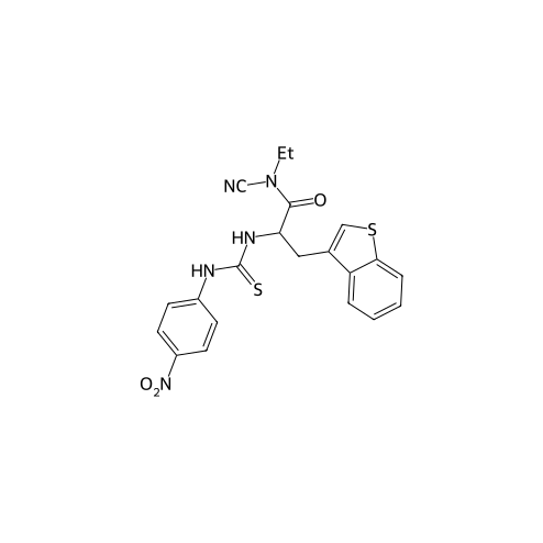 CCN(C#N)C(=O)C(Cc1csc2ccccc12)NC(=S)Nc1ccc([N+](=O)[O-])cc1